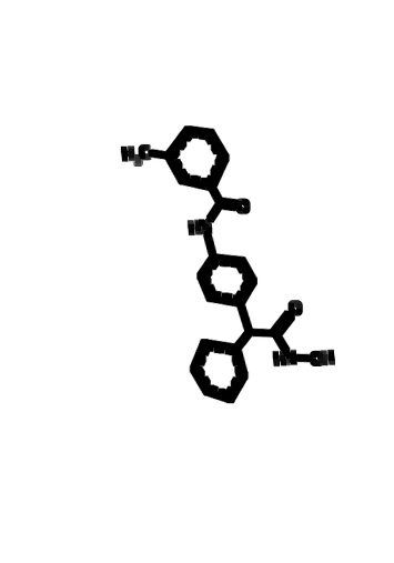 Cc1cccc(C(=O)Nc2ccc(C(C(=O)NO)c3ccccc3)cc2)c1